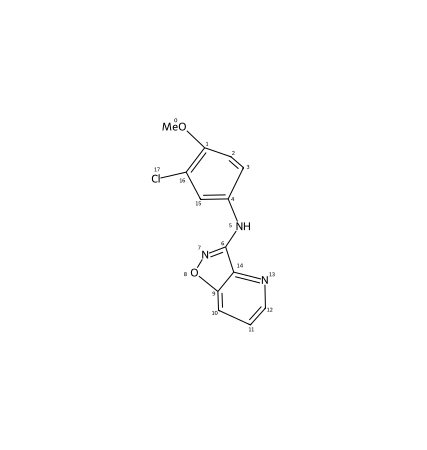 COc1ccc(Nc2noc3cccnc23)cc1Cl